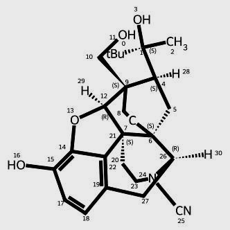 CC(C)(C)[C@@](C)(O)[C@H]1C[C@@]23CC[C@]1(CO)[C@@H]1Oc4c(O)ccc5c4[C@@]12CCN(C#N)[C@@H]3C5